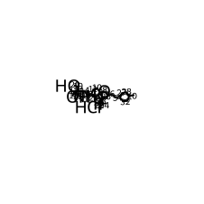 Cc1ccc(CCCOc2ccc(CCC(N)(CO)CO)cc2C(F)(F)F)cc1.Cl